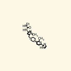 CCNC(=O)Nc1cc(CN2CCN(c3ccc(-c4ncc[nH]4)nc3C)CC2)n(C)n1